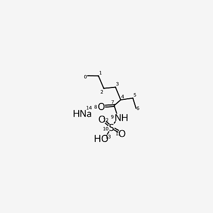 CCCCC(CC)C(=O)NS(=O)(=O)O.[NaH]